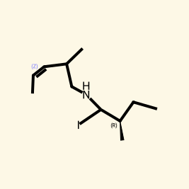 C/C=C\C(C)CNC(I)[C@H](C)CC